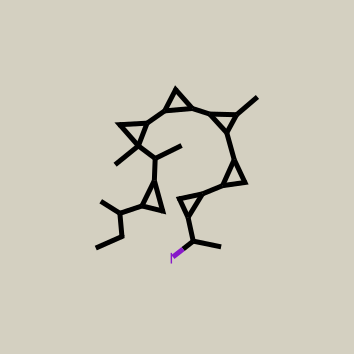 CCC(C)C1CC1C(C)C1(C)CC1C1CC1C1C(C)C1C1CC1C1CC1C(C)I